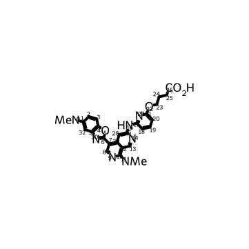 CNc1ccc2oc(-c3cnc(NC)c4cnc(Nc5cccc(OCCCC(=O)O)n5)cc34)nc2c1